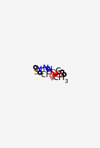 Cc1ccc2ccccc2c1OCC(C)C(=O)OCCN1CCN(CCCN2c3ccccc3Sc3ccc(C(F)(F)F)cc32)CC1